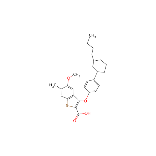 CCCCC1CCCC(c2ccc(Oc3c(C(=O)O)sc4cc(C)c(OC)cc34)cc2)C1